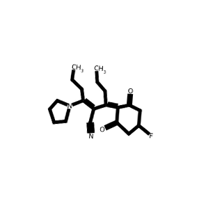 CCCC(=C1C(=O)CC(F)CC1=O)/C(C#N)=C(\CCC)N1CCCC1